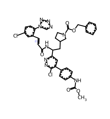 COC(=O)Nc1ccc(-c2cc(C(CC3CCN(C(=O)OCc4ccccc4)C3)NC(=O)/C=C/c3cc(Cl)ccc3-n3cnnn3)nnc2Cl)cc1